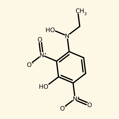 CCN(O)c1ccc([N+](=O)[O-])c(O)c1[N+](=O)[O-]